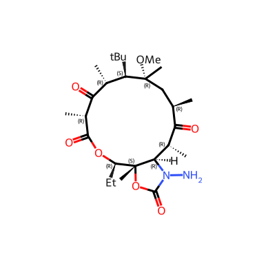 CC[C@H]1OC(=O)[C@H](C)C(=O)[C@H](C)[C@@H](C(C)(C)C)[C@](C)(OC)C[C@@H](C)C(=O)[C@H](C)[C@H]2N(N)C(=O)O[C@]12C